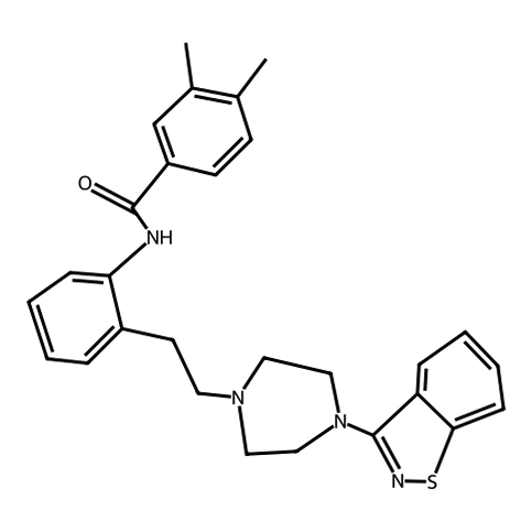 Cc1ccc(C(=O)Nc2ccccc2CCN2CCN(c3nsc4ccccc34)CC2)cc1C